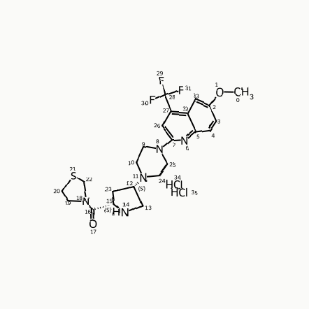 COc1ccc2nc(N3CCN([C@@H]4CN[C@H](C(=O)N5CCSC5)C4)CC3)cc(C(F)(F)F)c2c1.Cl.Cl